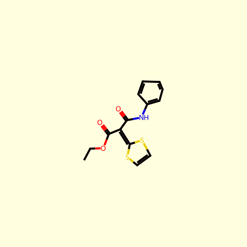 CCOC(=O)C(C(=O)Nc1ccccc1)=C1SC=CS1